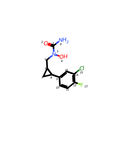 NC(=O)N(O)CC1CC1c1ccc(F)c(Cl)c1